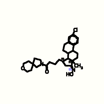 C[C@]12CCC3c4ccc(Cl)cc4CCC3C1[C@H](CCCC(=O)N1CCC3(CCOCC3)C1)C/C2=N\O